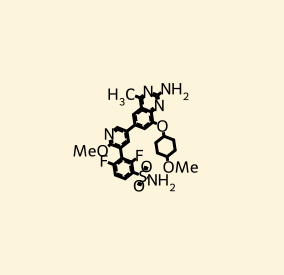 COc1ncc(-c2cc(OC3CCC(OC)CC3)c3nc(N)nc(C)c3c2)cc1-c1c(F)ccc(S(N)(=O)=O)c1F